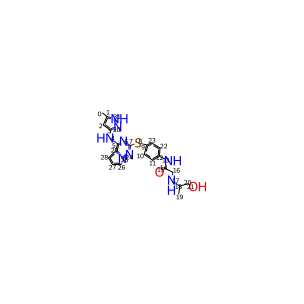 Cc1cc(Nc2nc(Sc3ccc(NC(=O)CNC(C)CO)cc3)nn3cccc23)n[nH]1